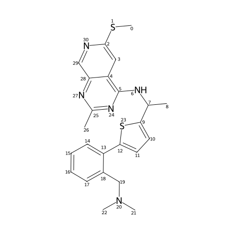 CSc1cc2c(NC(C)c3ccc(-c4ccccc4CN(C)C)s3)nc(C)nc2cn1